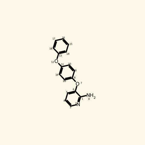 Nc1ncccc1Oc1ccc(Oc2ccccc2)cc1